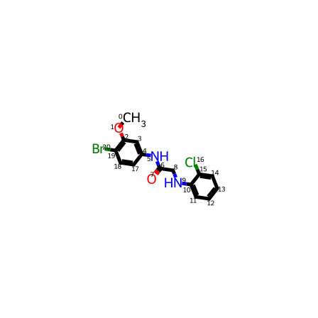 COc1cc(NC(=O)CNc2ccccc2Cl)ccc1Br